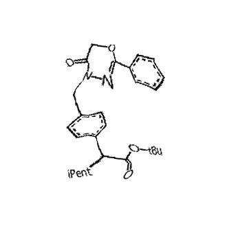 CCCC(C)C(C(=O)OC(C)(C)C)c1ccc(CN2N=C(c3ccccc3)OCC2=O)cc1